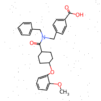 COc1ccccc1OC1CCC(C(=O)N(Cc2ccccc2)Cc2ccc(C(=O)O)cc2)CC1